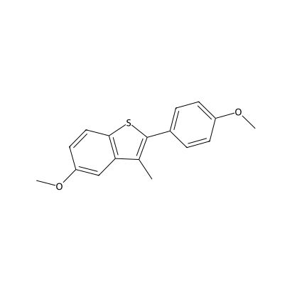 COc1ccc(-c2sc3ccc(OC)cc3c2C)cc1